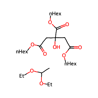 CCCCCCOC(=O)CC(O)(CC(=O)OCCCCCC)C(=O)OCCCCCC.CCOC(C)OCC